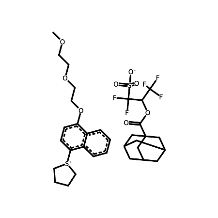 COCCOCCOc1ccc([S+]2CCCC2)c2ccccc12.O=C(OC(C(F)(F)F)C(F)(F)S(=O)(=O)[O-])C12CC3CC(CC(C3)C1)C2